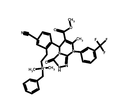 COC(=O)C1=C(C)N(c2cccc(C(F)(F)F)c2)c2n[nH]c(=O)n2C1c1ccc(C#N)cc1CC[N+](C)(C)Cc1ccccc1